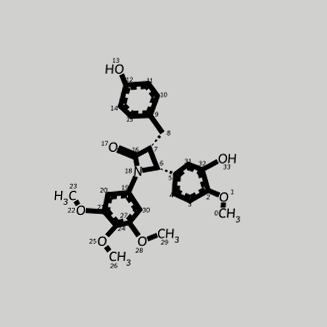 COc1ccc([C@H]2[C@@H](Cc3ccc(O)cc3)C(=O)N2c2cc(OC)c(OC)c(OC)c2)cc1O